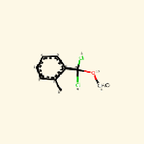 Cc1ccccc1C(Cl)(Cl)OC=O